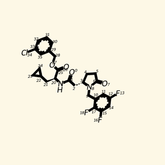 O=C(C[C@@H]1CCC(=O)N1Cc1cc(F)cc(F)c1F)N[C@@H](CC1CC1)C(=O)OCc1cccc(Cl)c1